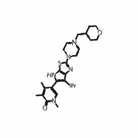 Cc1c(-c2[nH]c3sc(N4CCN(CC5CCOCC5)CC4)nc3c2C(C)C)cn(C)c(=O)c1C